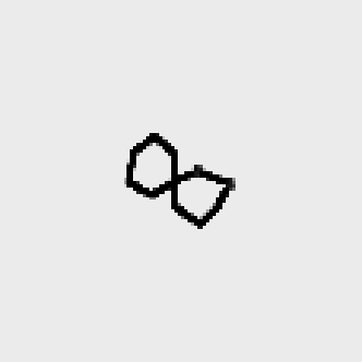 C1CCC2(CC1)CCCSS2